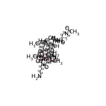 CC(=O)N1CCC(C(=O)NNC(=O)[C@H](CC(C)C)NC(=O)[C@@H](CC(C)C)NC(=O)[C@H](CC(C)C)NC(=O)[C@H](CCc2ccccc2)NC(=O)CN(CCCCN)C(=O)[C@H](CC(C)C)NC(=O)[C@@H]2CCCN2C(C)=O)CC1